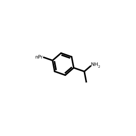 CCCc1ccc(C(C)N)cc1